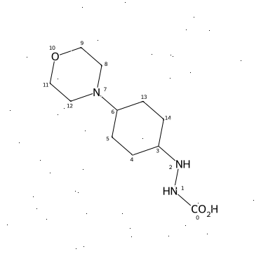 O=C(O)NNC1CCC(N2CCOCC2)CC1